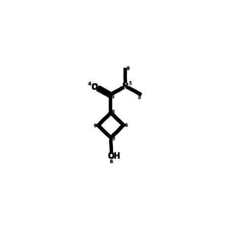 CN(C)C(=O)C1CC(O)C1